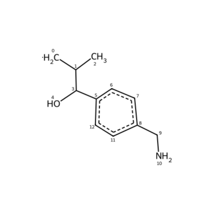 [CH2]C(C)C(O)c1ccc(CN)cc1